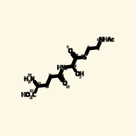 CC(=O)NCCSC(=O)[C@@H](O)NC(=O)CC[C@H](N)C(=O)O